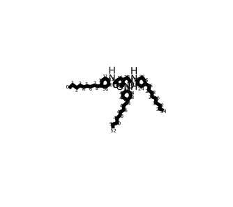 CCCCCCCCCC1CCC(NC(=O)CC(CC(=O)NC2CCC(CCCCCCCCC)CC2)C(=O)NC2CCC(CCCCCCCCC)CC2)CC1